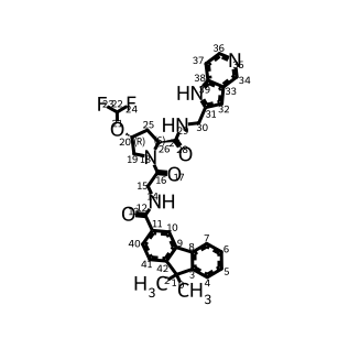 CC1(C)c2ccccc2-c2cc(C(=O)NCC(=O)N3C[C@H](OC(F)F)C[C@H]3C(=O)NCc3cc4cnccc4[nH]3)ccc21